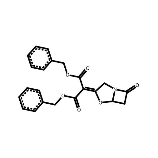 O=C(OCc1ccccc1)C(C(=O)OCc1ccccc1)=C1CN2C(=O)CC2O1